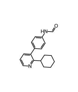 O=CNc1ccc(-c2cccnc2C2CCCCC2)cc1